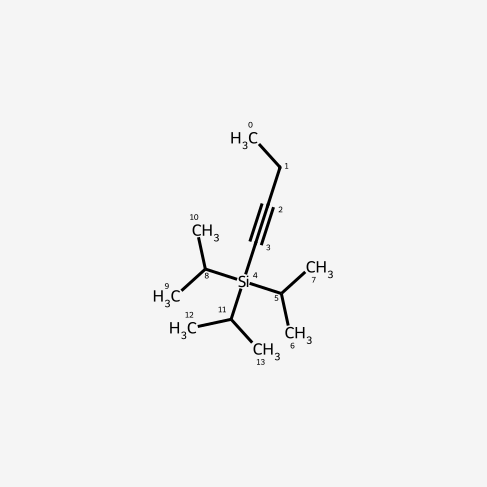 CCC#C[Si](C(C)C)(C(C)C)C(C)C